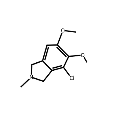 COc1cc2c(c(Cl)c1OC)CN(C)C2